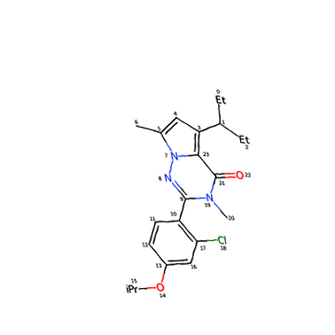 CCC(CC)c1cc(C)n2nc(-c3ccc(OC(C)C)cc3Cl)n(C)c(=O)c12